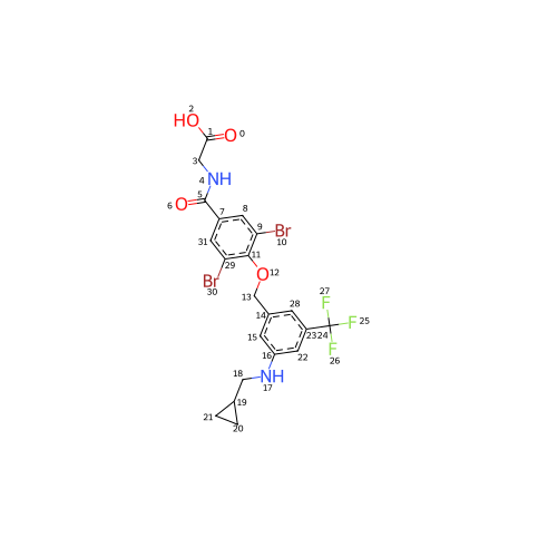 O=C(O)CNC(=O)c1cc(Br)c(OCc2cc(NCC3CC3)cc(C(F)(F)F)c2)c(Br)c1